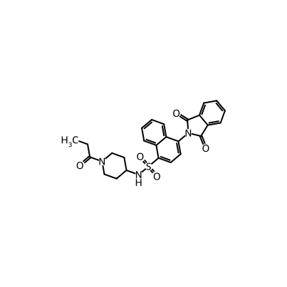 CCC(=O)N1CCC(NS(=O)(=O)c2ccc(N3C(=O)c4ccccc4C3=O)c3ccccc23)CC1